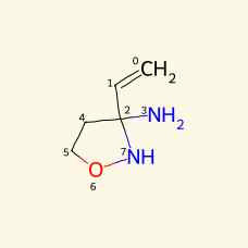 C=CC1(N)CCON1